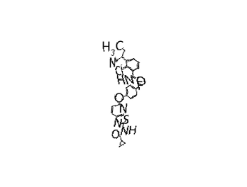 CCC(C#N)c1cccc(C(=O)Nc2cc(Oc3ccc4nc(NC(=O)C5CC5)sc4n3)ccc2F)c1Cl